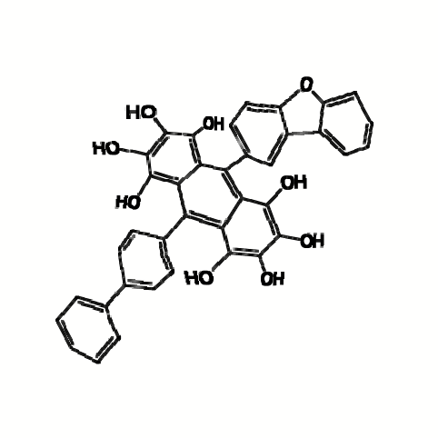 Oc1c(O)c(O)c2c(-c3ccc4oc5ccccc5c4c3)c3c(O)c(O)c(O)c(O)c3c(-c3ccc(-c4ccccc4)cc3)c2c1O